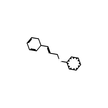 C1=CCC(/C=C/CNc2ccccc2)C=C1